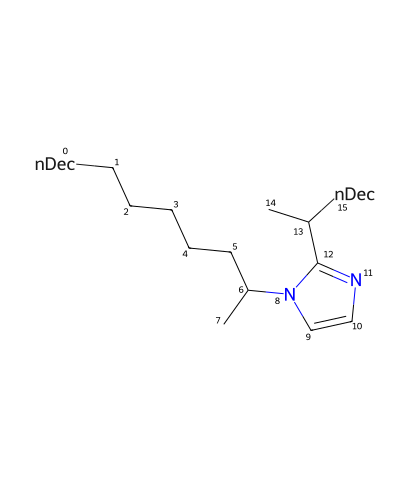 CCCCCCCCCCCCCCCC(C)n1ccnc1C(C)CCCCCCCCCC